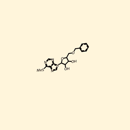 CSc1ncnc2c1ncn2C1OC(COCc2ccccc2)C(O)C1O